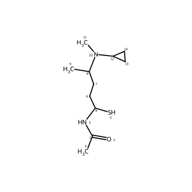 CC(=O)NC(S)CCC(C)N(C)C1CC1